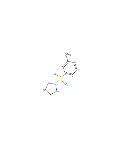 COc1cccc(S(=O)(=O)N2CCCC2)c1